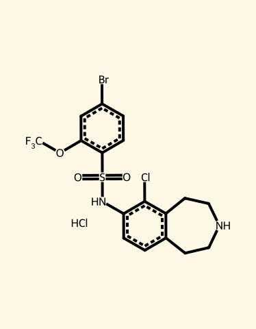 Cl.O=S(=O)(Nc1ccc2c(c1Cl)CCNCC2)c1ccc(Br)cc1OC(F)(F)F